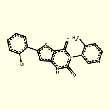 Cc1ccncc1-n1c(=O)[nH]c2cc(-c3ccccc3Cl)sc2c1=O